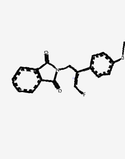 COc1ccc(/C(=C\F)CN2C(=O)c3ccccc3C2=O)cc1